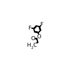 C=CC(=O)Oc1cc(F)cc(F)c1